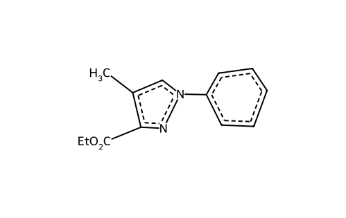 CCOC(=O)c1nn(-c2ccccc2)cc1C